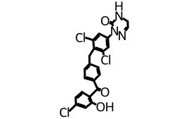 O=C(c1ccc(Cc2c(Cl)cc(N3N=CCNC3=O)cc2Cl)cc1)c1ccc(Cl)cc1O